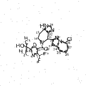 CC(C)(O)c1nc(C(F)F)c(C(=O)N2CCc3[nH]cnc3[C@H]2c2cc3cccc(Cl)n3n2)o1